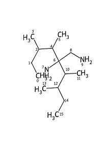 CCC(C)C(C)C(N)(CN)C(C)C(C)CC